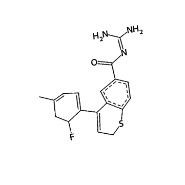 CC1=CC=C(C2=CCSc3ccc(C(=O)N=C(N)N)cc32)C(F)C1